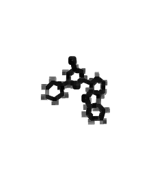 O=c1cc(-c2cccc3c2oc2ccccc23)oc(N2CCCCC2)c1